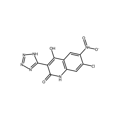 O=c1[nH]c2cc(Cl)c([N+](=O)[O-])cc2c(O)c1-c1nnn[nH]1